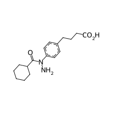 NN(C(=O)C1CCCCC1)c1ccc(CCCC(=O)O)cc1